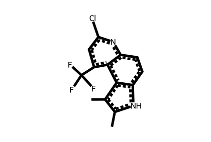 Cc1[nH]c2ccc3nc(Cl)cc(C(F)(F)F)c3c2c1C